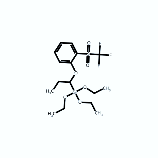 CCO[Si](OCC)(OCC)C(CC)Oc1ccccc1S(=O)(=O)C(F)(F)F